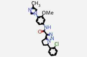 COc1cc(NC(=O)c2nnn3c2CCC3c2ccccc2Cl)ccc1-n1cnc(C)c1